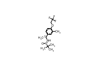 Cc1cc([C@@H](C)N[S+]([O-])C(C)(C)C)ccc1OCC(F)(F)F